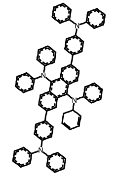 C1=CCC(N(c2ccccc2)c2c3ccc(-c4ccc(N(c5ccccc5)c5ccccc5)cc4)cc3c(N(c3ccccc3)c3ccccc3)c3ccc(-c4ccc(N(c5ccccc5)c5ccccc5)cc4)cc23)C=C1